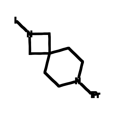 CC(C)N1CCC2(CC1)CN(I)C2